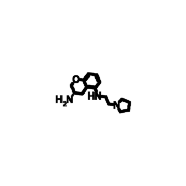 N[C@@H]1COc2cccc(NCCN3CCCC3)c2C1